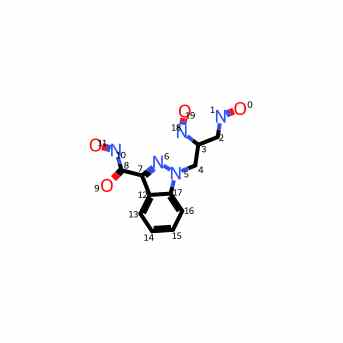 O=NCC(Cn1nc(C(=O)N=O)c2ccccc21)N=O